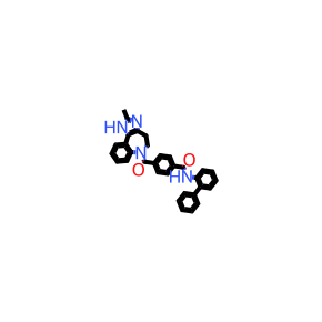 Cc1nc2c([nH]1)-c1ccccc1N(C(=O)c1ccc(C(=O)Nc3ccccc3-c3ccccc3)cc1)CC2